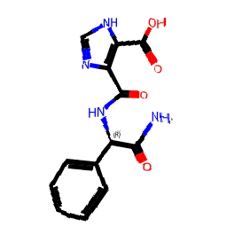 [NH]C(=O)[C@H](NC(=O)c1nc[nH]c1C(=O)O)c1ccccc1